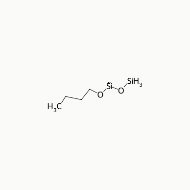 CCCCO[Si]O[SiH3]